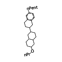 CCCCCc1ccc2c(c1)CCC(C1CCC3CC(OCCC)CCC3C1)C2